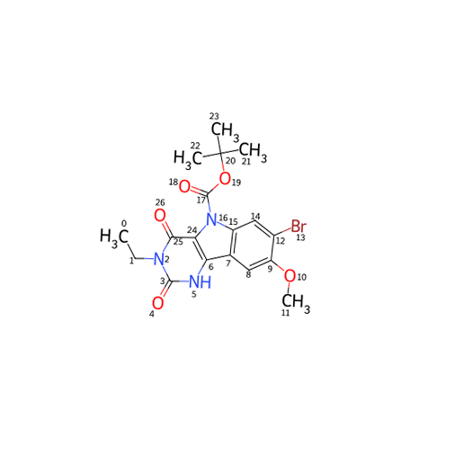 CCn1c(=O)[nH]c2c3cc(OC)c(Br)cc3n(C(=O)OC(C)(C)C)c2c1=O